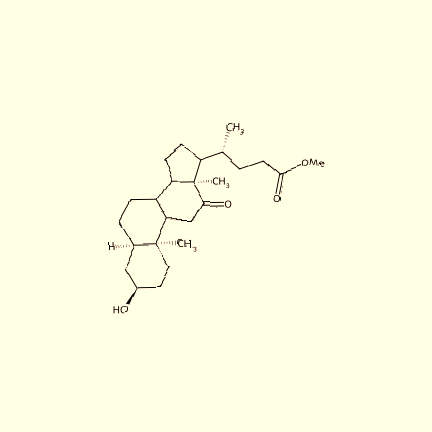 COC(=O)CC[C@@H](C)C1CCC2C3CC[C@@H]4C[C@H](O)CC[C@]4(C)C3CC(=O)[C@@]21C